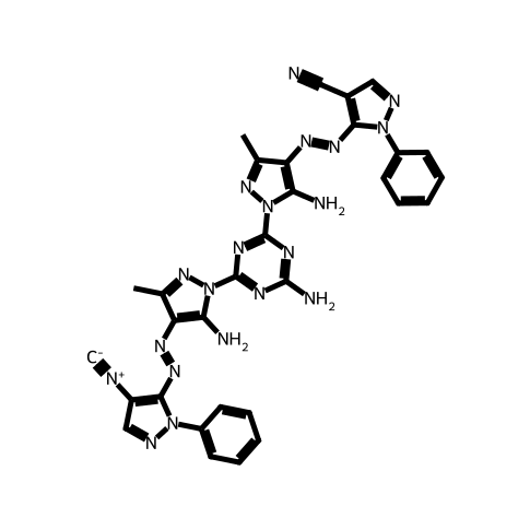 [C-]#[N+]c1cnn(-c2ccccc2)c1N=Nc1c(C)nn(-c2nc(N)nc(-n3nc(C)c(N=Nc4c(C#N)cnn4-c4ccccc4)c3N)n2)c1N